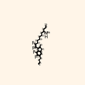 C=CCCc1cc2c(c(F)c1F)C(/C(F)=C(/F)CCCCCCC(CCC)NC)=C(C)C2